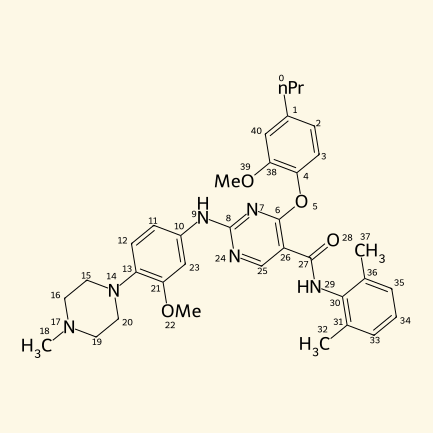 CCCc1ccc(Oc2nc(Nc3ccc(N4CCN(C)CC4)c(OC)c3)ncc2C(=O)Nc2c(C)cccc2C)c(OC)c1